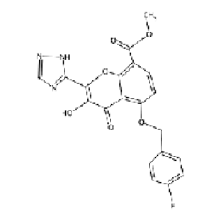 COC(=O)c1ccc(OCc2ccc(F)cc2)c2c(=O)c(O)c(-c3ncn[nH]3)oc12